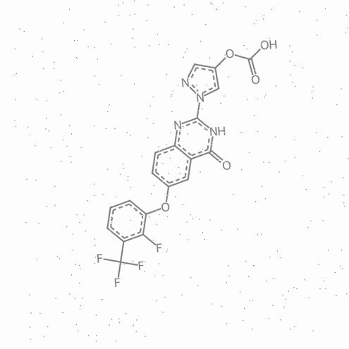 O=C(O)Oc1cnn(-c2nc3ccc(Oc4cccc(C(F)(F)F)c4F)cc3c(=O)[nH]2)c1